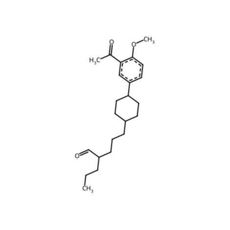 CCCC(C=O)CCCC1CCC(c2ccc(OC)c(C(C)=O)c2)CC1